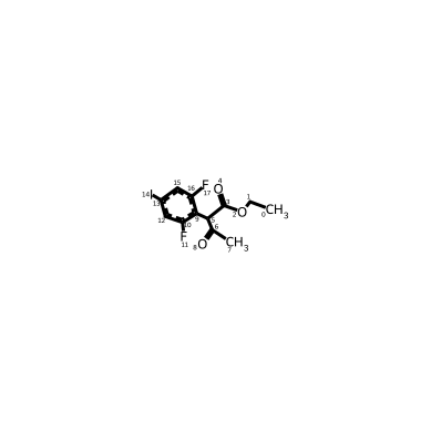 CCOC(=O)C(C(C)=O)c1c(F)cc(I)cc1F